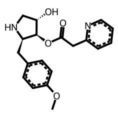 COc1ccc(C[C@H]2NC[C@H](O)[C@H]2OC(=O)Cc2ccccn2)cc1